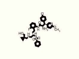 COc1ccc([C@H](c2ccc(Cl)cc2)[C@H](N)C(=O)Nc2cccc(F)c2CC[C@@H](CNCC2(CO)CC2)NS(=O)(=O)c2ccccc2)cn1